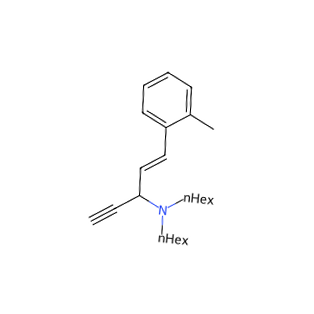 C#CC(C=Cc1ccccc1C)N(CCCCCC)CCCCCC